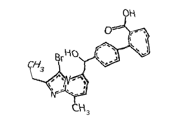 CCc1nc2c(C)ccc(C(O)c3ccc(-c4ccccc4C(=O)O)cc3)n2c1Br